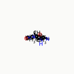 CCc1cc2c(cc1N1CCC(N3CCOCC3)CC1)C(C)(C)C1Nc3cc(C#N)ccc3C1C2=O